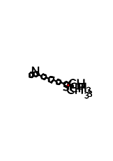 C[Si](C)(C)c1ccc(-c2ccc(-c3ccc(-c4ccc(-c5cnc6ccccc6c5)cc4)cc3)cc2)cc1